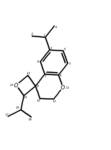 CC(C)c1ccc2c(c1)C1(CCO2)COC1C(C)C